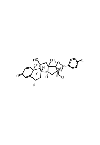 C[C@]12C=CC(=O)C=C1[C@@H](F)C[C@H]1[C@@H]3C[C@H]4CN(c5ccc(Cl)cc5)O[C@@]4(C(=O)CCl)[C@@]3(C)C[C@H](O)[C@@]12F